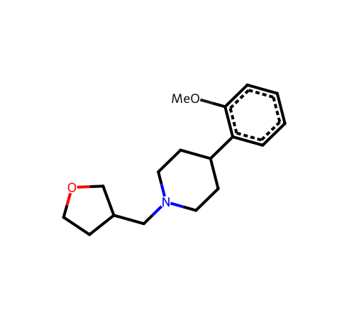 COc1ccccc1C1CCN(CC2CCOC2)CC1